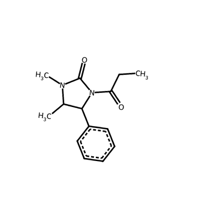 CCC(=O)N1C(=O)N(C)C(C)C1c1ccccc1